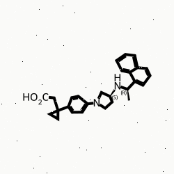 C[C@@H](N[C@H]1CCN(c2ccc(C3(CC(=O)O)CC3)cc2)C1)c1cccc2ccccc12